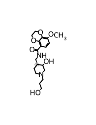 COc1ccc(C(=O)NC[C@@H]2CCN(CCCO)CC2O)c2c1OCCO2